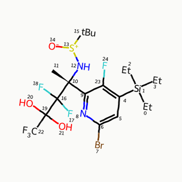 CC[Si](CC)(CC)c1cc(Br)nc([C@@](C)(N[S+]([O-])C(C)(C)C)C(F)(F)C(O)(O)C(F)(F)F)c1F